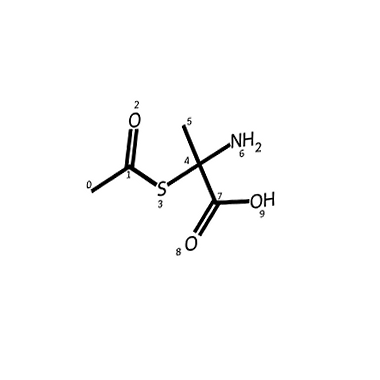 CC(=O)SC(C)(N)C(=O)O